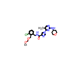 CCOCOCc1c(Cl)cccc1CNC(=O)c1cn(-c2nc(NC3CCOCC3)ncc2C)cn1